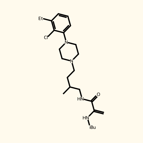 C=C(NC(C)CC)C(=O)NCC(C)CCN1CCN(c2cccc(CC)c2Cl)CC1